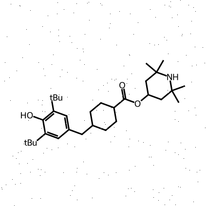 CC1(C)CC(OC(=O)C2CCC(Cc3cc(C(C)(C)C)c(O)c(C(C)(C)C)c3)CC2)CC(C)(C)N1